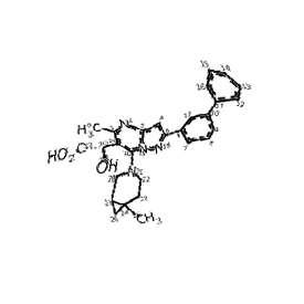 Cc1nc2cc(-c3cccc(-c4ccccc4)c3)nn2c(N2CCC3(C)CC3C2)c1[C@H](O)C(=O)O